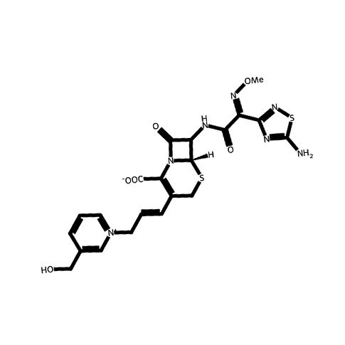 CON=C(C(=O)NC1C(=O)N2C(C(=O)[O-])=C(C=CC[n+]3cccc(CO)c3)CS[C@@H]12)c1nsc(N)n1